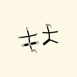 C=C(C)C(C)(C)N.NS(=O)(=O)C(F)(F)F